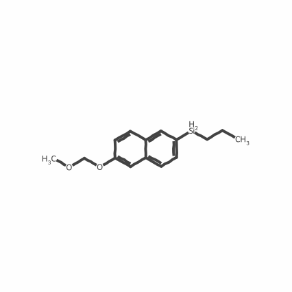 CCC[SiH2]c1ccc2cc(OCOC)ccc2c1